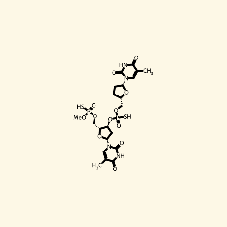 COP(=O)(S)OC[C@H]1O[C@@H](n2cc(C)c(=O)[nH]c2=O)C[C@@H]1OP(=O)(S)OC[C@@H]1CC[C@H](n2cc(C)c(=O)[nH]c2=O)O1